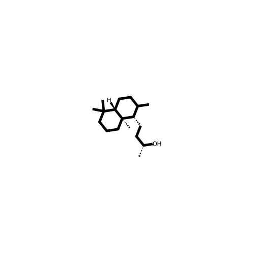 CC1CC[C@H]2C(C)(C)CCC[C@]2(C)[C@H]1CC[C@@H](C)O